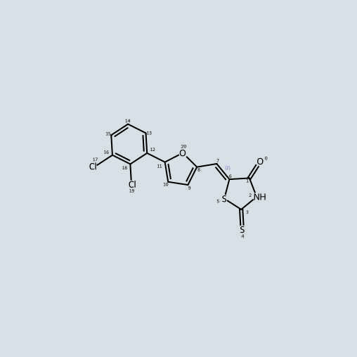 O=C1NC(=S)S/C1=C\c1ccc(-c2cccc(Cl)c2Cl)o1